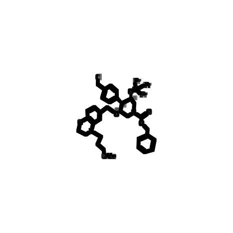 COCCCN1CCOc2ccc(CO[C@H]3CN(C(=O)OCc4ccccc4)C[C@@H](O[Si](C(C)C)(C(C)C)C(C)C)[C@@H]3c3ccc(CCl)cc3)cc21